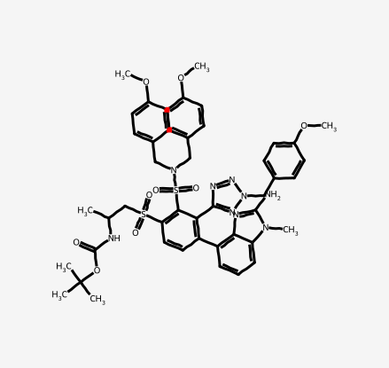 COc1ccc(CN(Cc2ccc(OC)cc2)S(=O)(=O)c2c(S(=O)(=O)CC(C)NC(=O)OC(C)(C)C)ccc(-c3cccc4c3nc(N)n4C)c2-c2nnn(Cc3ccc(OC)cc3)n2)cc1